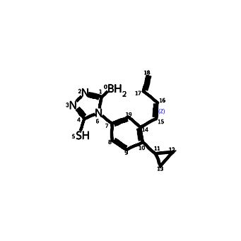 Bc1nnc(S)n1-c1ccc(C2CC2)c(/C=C\C=C)c1